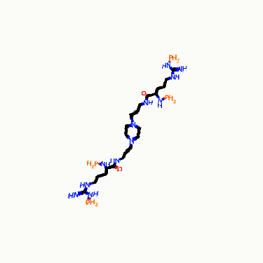 N=C(NP)NCCCC(NP)C(=O)NCCCN1CCN(CCCNC(=O)C(CCCNC(=N)NP)NP)CC1